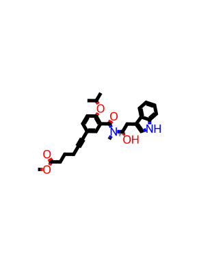 COC(=O)CCCC#Cc1ccc(OC(C)C)c(C(=O)N(C)[C@H](O)Cc2c[nH]c3ccccc23)c1